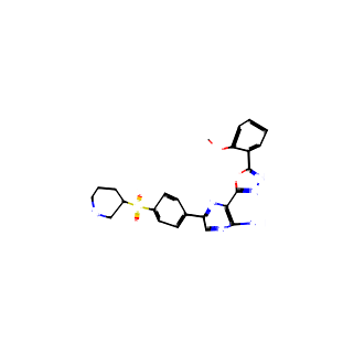 COc1ccccc1-c1nnc(-c2nc(-c3ccc(S(=O)(=O)C4CCCNC4)cc3)cnc2N)o1